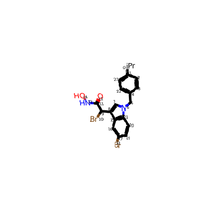 CC(C)c1ccc(Cn2cc(C(Br)C(=O)NO)c3cc(Br)ccc32)cc1